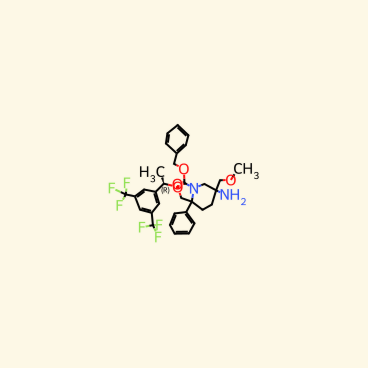 COCC1(N)CCC(CO[C@H](C)c2cc(C(F)(F)F)cc(C(F)(F)F)c2)(c2ccccc2)N(C(=O)OCc2ccccc2)C1